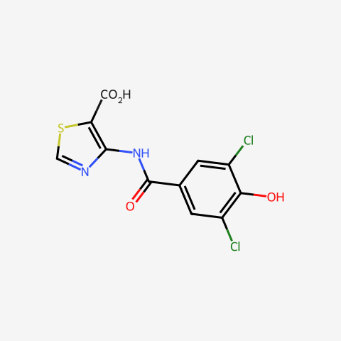 O=C(Nc1ncsc1C(=O)O)c1cc(Cl)c(O)c(Cl)c1